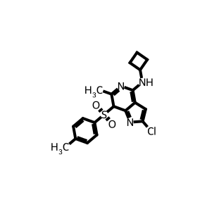 CC1=NC(NC2CCC2)=C2C=C(Cl)N=C2C1S(=O)(=O)c1ccc(C)cc1